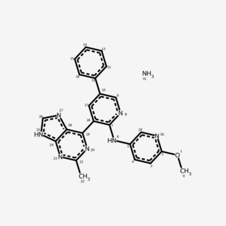 COc1ccc(Nc2ncc(-c3ccccc3)cc2-c2nc(C)nc3[nH]cnc23)cn1.N